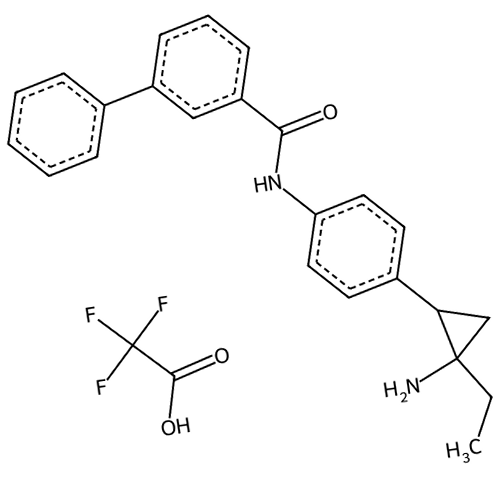 CCC1(N)CC1c1ccc(NC(=O)c2cccc(-c3ccccc3)c2)cc1.O=C(O)C(F)(F)F